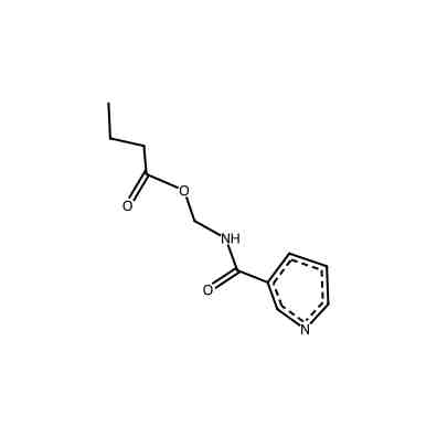 CCCC(=O)OCNC(=O)c1cccnc1